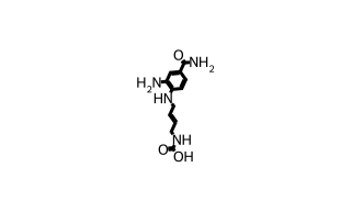 NC(=O)c1ccc(NCC=CCNC(=O)O)c(N)c1